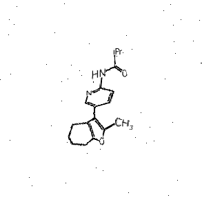 Cc1oc2c(c1-c1ccc(NC(=O)C(C)C)nc1)CCCC2